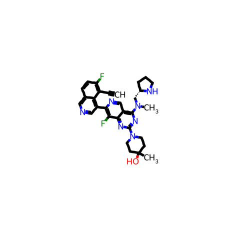 C#Cc1c(F)ccc2cncc(-c3ncc4c(N(C)C[C@@H]5CCCN5)nc(N5CCC(C)(O)CC5)nc4c3F)c12